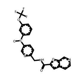 O=C(NCc1ccc([S+]([O-])c2cccc(OC(F)(F)F)c2)cn1)c1cc2ccncc2o1